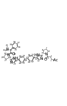 CC(=O)CCC(=O)N1CCC[C@H]1c1ncc(-c2ccc(-c3ccc(-c4cnc([C@@H]5CCCN5C(=O)[C@@H](c5ccccc5)N(C)C)[nH]4)cc3)cc2)[nH]1